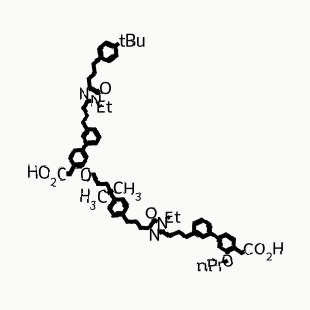 CCCOc1cc(-c2cccc(CCCC3=NC(CCCc4ccc(C(C)(C)CCCOc5cc(-c6cccc(CCCC7=NC(CCCc8ccc(C(C)(C)C)cc8)C(=O)N7CC)c6)ccc5CC(=O)O)cc4)C(=O)N3CC)c2)ccc1CC(=O)O